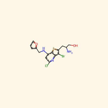 NC(CO)Cc1sc2c(NCc3ccco3)cc(Cl)nc2c1Br